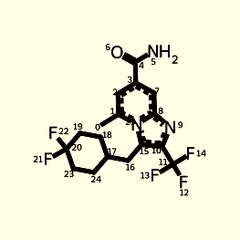 Cc1cc(C(N)=O)cc2nc(C(F)(F)F)c(CC3CCC(F)(F)CC3)n12